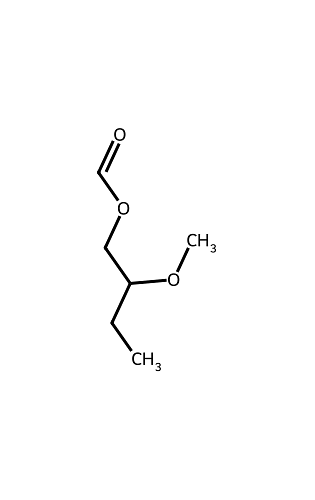 CCC(COC=O)OC